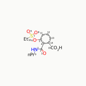 CCCNC(=O)c1c(OS(=O)(=O)CC)cccc1C(=O)O